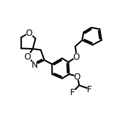 FC(F)Oc1ccc(C2=NOC3(CCOC3)C2)cc1OCc1ccccc1